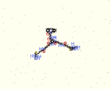 N=C1NC2CSC(CCCCC(=O)NCCCCCC(=O)Nc3cc(NC(=O)CCCCCNC(=O)CCCCC4SCC5NC(=N)NC54)cc(C(=O)NCCC(=O)N4Cc5ccccc5/C=C\c5ccccc54)c3)C2N1